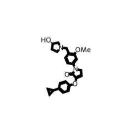 COc1cc(N2CC=C(Oc3ccc(C4CC4)cc3)C2=O)ccc1CN1CC[C@H](O)C1